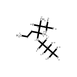 CCCC(C)(OC(F)(F)C(F)(F)C(F)(F)F)C(C)(F)C(F)(F)F